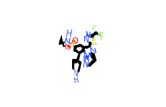 CC1(NS(=O)(=O)c2cc(C3=CCNCC3)c3c(c2)c(-c2nnc(C(F)F)s2)nc2ccnn23)CC1